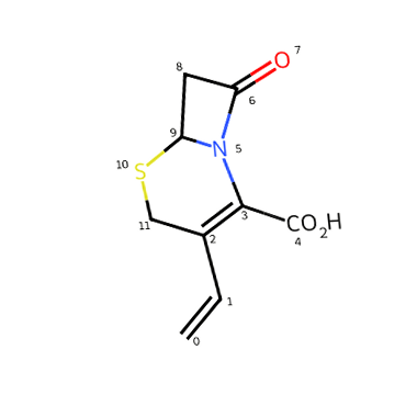 C=CC1=C(C(=O)O)N2C(=O)CC2SC1